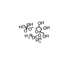 CON.O=P(O)(O)OC[C@H]1O[C@](O)(CO)[C@@H](O)[C@@H]1O